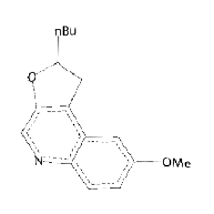 CCCCC1Cc2c(cnc3ccc(OC)cc23)O1